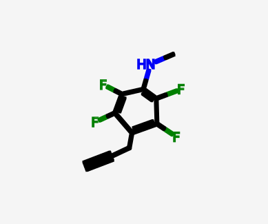 C#CCc1c(F)c(F)c(NC)c(F)c1F